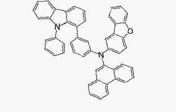 c1ccc(-n2c3ccccc3c3cccc(-c4cccc(N(c5ccc6oc7ccccc7c6c5)c5cc6ccccc6c6ccccc56)c4)c32)cc1